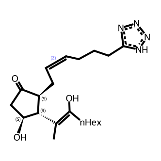 CCCCCCC(O)=C(C)[C@H]1[C@H](C/C=C\CCCc2nnn[nH]2)C(=O)C[C@@H]1O